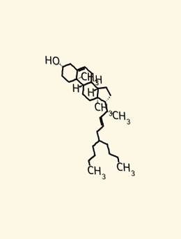 CCCCC(C/C=C/[C@@H](C)[C@H]1CC[C@H]2[C@@H]3CC=C4C[C@@H](O)CC[C@]4(C)[C@H]3CC[C@]12C)CCCC